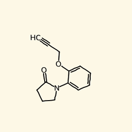 C#CCOc1ccccc1N1CCCC1=O